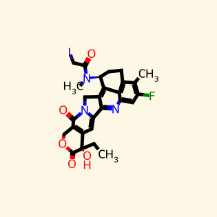 CC[C@@]1(O)C(=O)OCc2c1cc1n(c2=O)Cc2c-1nc1cc(F)c(C)c3c1c2[C@@H](N(C)C(=O)CI)CC3